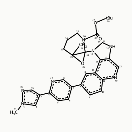 Cn1cc(-c2ccc(-c3ccc4ncc5c(c4c3)N(C34OC3(C)CCCN4C(=O)OC(C)(C)C)CN5)cn2)cn1